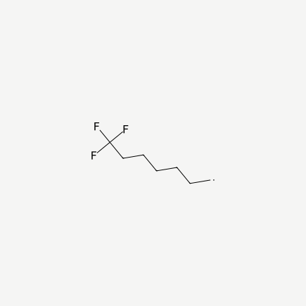 [CH2]CCCCCC(F)(F)F